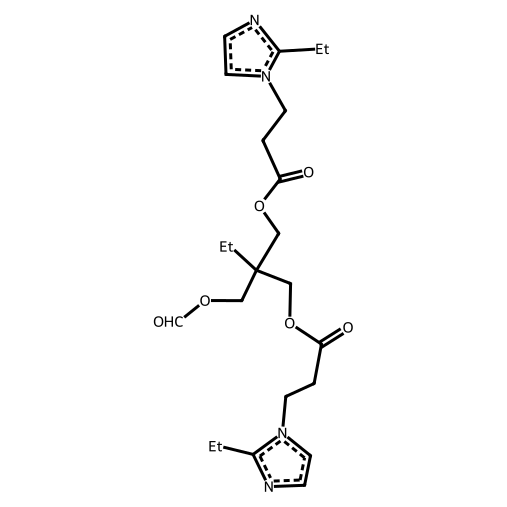 CCc1nccn1CCC(=O)OCC(CC)(COC=O)COC(=O)CCn1ccnc1CC